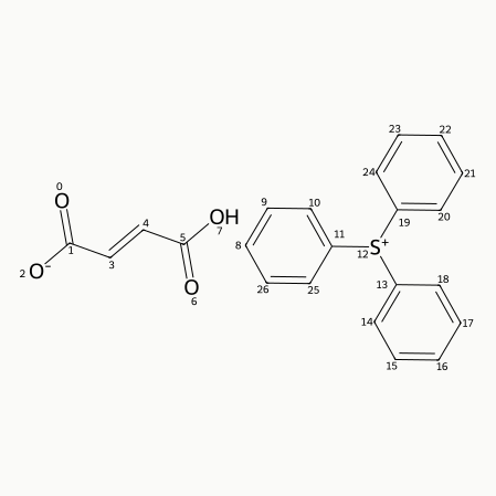 O=C([O-])C=CC(=O)O.c1ccc([S+](c2ccccc2)c2ccccc2)cc1